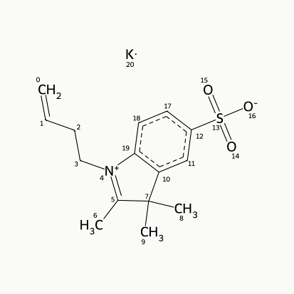 C=CCC[N+]1=C(C)C(C)(C)c2cc(S(=O)(=O)[O-])ccc21.[K]